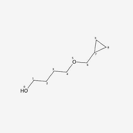 OCCCCOCC1CC1